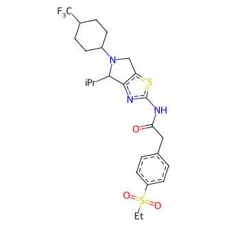 CCS(=O)(=O)c1ccc(CC(=O)Nc2nc3c(s2)CN(C2CCC(C(F)(F)F)CC2)C3C(C)C)cc1